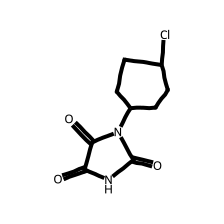 O=C1NC(=O)N(C2CCC(Cl)CC2)C1=O